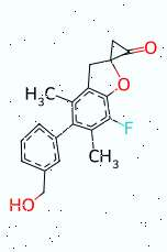 Cc1c(F)c2c(c(C)c1-c1cccc(CO)c1)CC1(CC1=O)O2